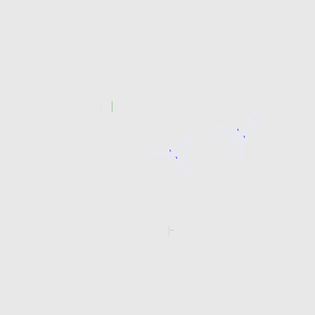 Fc1ccccc1Cn1cc[n+]2ccccc12.[Cl-]